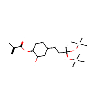 C=C(C)C(=O)OC1CCC(CCC([SiH3])(O[Si](C)(C)C)O[Si](C)(C)C)CC1O